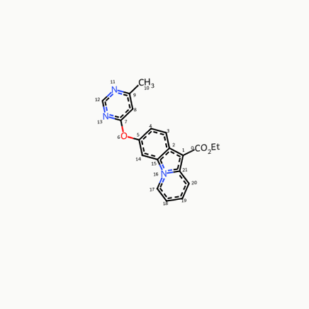 CCOC(=O)c1c2ccc(Oc3cc(C)ncn3)cc2n2ccccc12